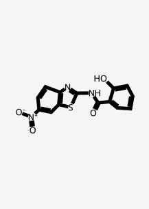 O=C(Nc1nc2ccc([N+](=O)[O-])cc2s1)c1ccccc1O